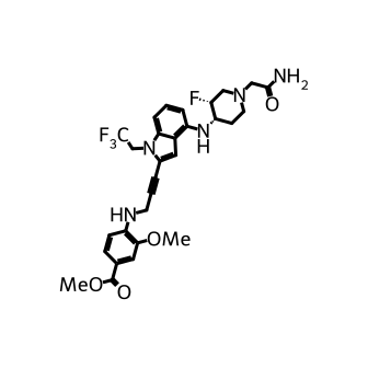 COC(=O)c1ccc(NCC#Cc2cc3c(N[C@H]4CCN(CC(N)=O)C[C@H]4F)cccc3n2CC(F)(F)F)c(OC)c1